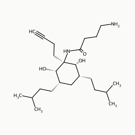 C#CCC[C@]1(NC(=O)CCCN)[C@H](O)[C@H](CCC(C)C)C[C@H](CCC(C)C)[C@@H]1O